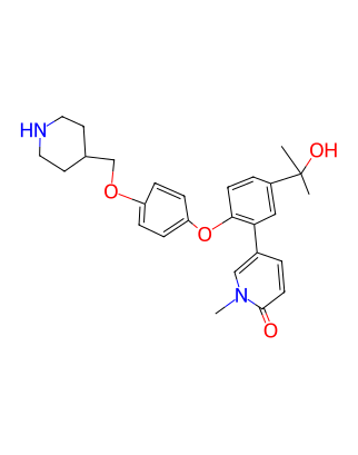 Cn1cc(-c2cc(C(C)(C)O)ccc2Oc2ccc(OCC3CCNCC3)cc2)ccc1=O